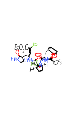 CCOC(=O)/C(F)=C\[C@H](C[C@H]1CCNC1=O)NC(=O)[C@@H]1[C@@H]2CC[C@@H](CC2(F)F)N1C(=O)[C@H](CC1CCC1)NC(=O)C(F)(F)F